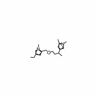 CCc1cc(COCCC(C)c2cc(C)n(C)c2)n(C)c1